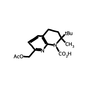 CC(=O)OCc1ccc2c(n1)N(C(=O)O)C(C)(C(C)(C)C)CC2